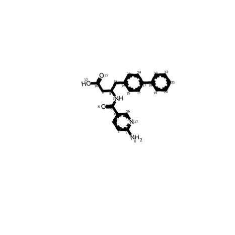 Nc1ccc(C(=O)NC(CC(=O)O)Cc2ccc(-c3ccccc3)cc2)cn1